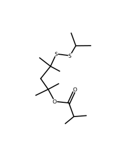 CC(C)SSC(C)(C)CC(C)(C)OC(=O)C(C)C